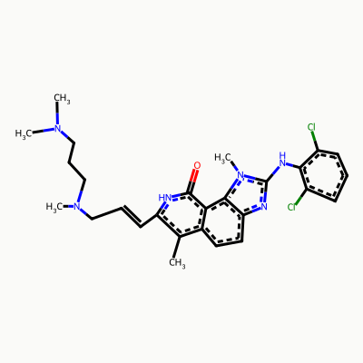 Cc1c(C=CCN(C)CCCN(C)C)[nH]c(=O)c2c1ccc1nc(Nc3c(Cl)cccc3Cl)n(C)c12